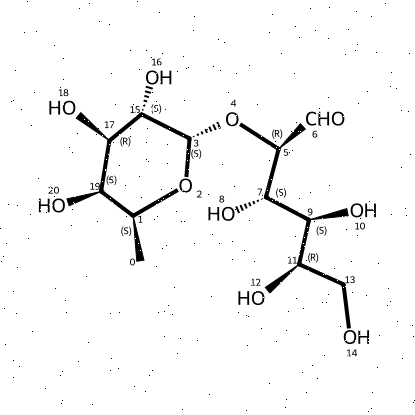 C[C@@H]1O[C@@H](O[C@@H](C=O)[C@@H](O)[C@@H](O)[C@H](O)CO)[C@@H](O)[C@H](O)[C@@H]1O